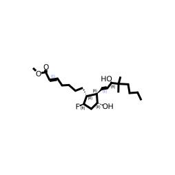 CCCCC(C)(C)[C@H](O)/C=C/[C@@H]1[C@@H](CCCC/C=C/C(=O)OC)[C@H](F)C[C@H]1O